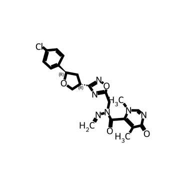 C=NN(Cc1nc([C@@H]2CO[C@@H](c3ccc(Cl)cc3)C2)no1)C(=O)c1c(C)c(=O)ncn1C